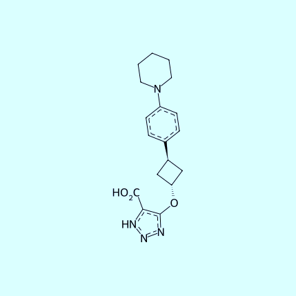 O=C(O)c1[nH]nnc1O[C@H]1C[C@H](c2ccc(N3CCCCC3)cc2)C1